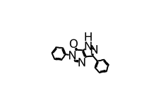 O=c1c2[nH]nc(-c3ccccc3)c2ncn1-c1ccccc1